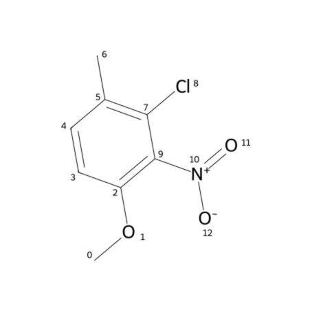 COc1ccc(C)c(Cl)c1[N+](=O)[O-]